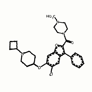 O=C(O)N1CCN(C(=O)c2oc3cc(OC4CCN(C5CCC5)CC4)c(Cl)cc3c2-c2ccccc2)CC1